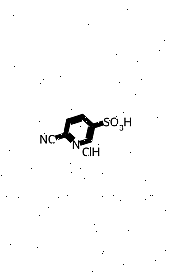 Cl.N#Cc1ccc(S(=O)(=O)O)cn1